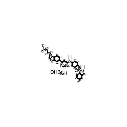 Cc1ccc(S(=O)(=O)Nc2ccc(Nc3cc(-c4ccc5c(c4)ncn5CCCN(C)C)ncn3)cc2)c(F)c1.O=CO